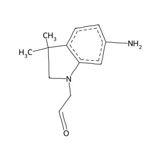 CC1(C)CN(CC=O)c2cc(N)ccc21